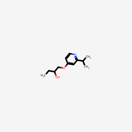 CCC(O)COc1ccnc(C(C)C)c1